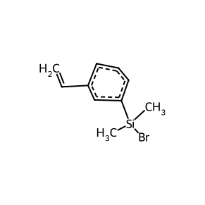 C=Cc1cccc([Si](C)(C)Br)c1